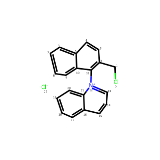 ClCc1ccc2ccccc2c1-[n+]1cccc2ccccc21.[Cl-]